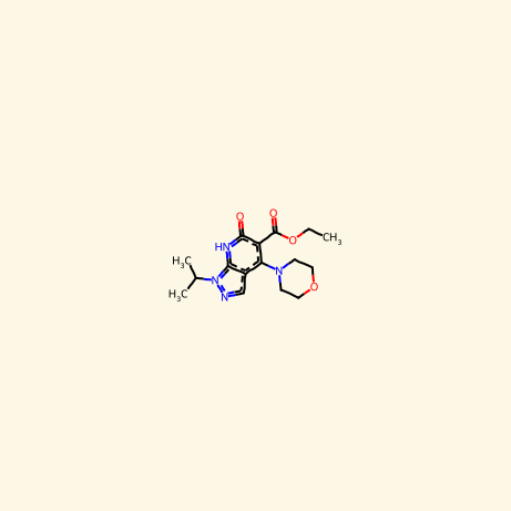 CCOC(=O)c1c(N2CCOCC2)c2cnn(C(C)C)c2[nH]c1=O